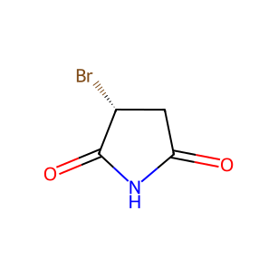 O=C1C[C@@H](Br)C(=O)N1